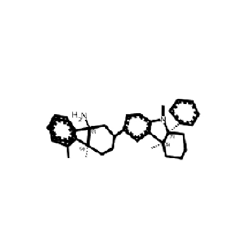 Cc1ccccc1[C@]1(C)CCC(c2ccc3c(c2)[C@]2(C)CCCC[C@]2(c2ccccc2)N3C)C[C@@]1(N)c1ccccc1